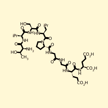 CC(C)C[C@H](NC(=O)[C@H](CO)NC(=O)[C@@H](NC(=O)[C@@H](N)[C@@H](C)O)C(C)C)C(=O)N1CCC[C@H]1C(=O)NCC(=O)NCC(=O)N[C@@H](CCC(=O)O)C(=O)N[C@@H](CCC(=O)O)C(=O)O